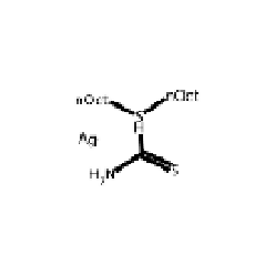 CCCCCCCC[SH](CCCCCCCC)C(N)=S.[Ag]